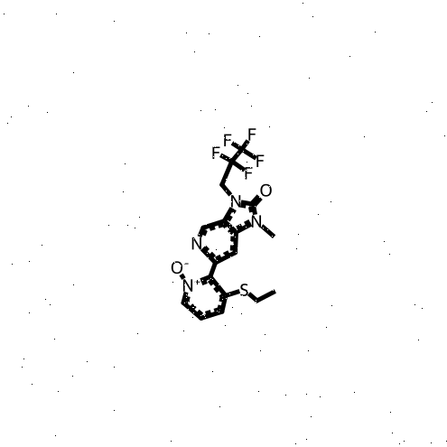 CCSc1ccc[n+]([O-])c1-c1cc2c(cn1)n(CC(F)(F)C(F)(F)F)c(=O)n2C